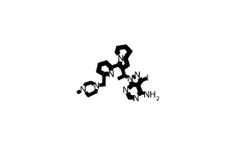 CC(c1cc2ccccn2c1-c1cccc(CN2CCN(C)CC2)n1)n1nc(I)c2c(N)ncnc21